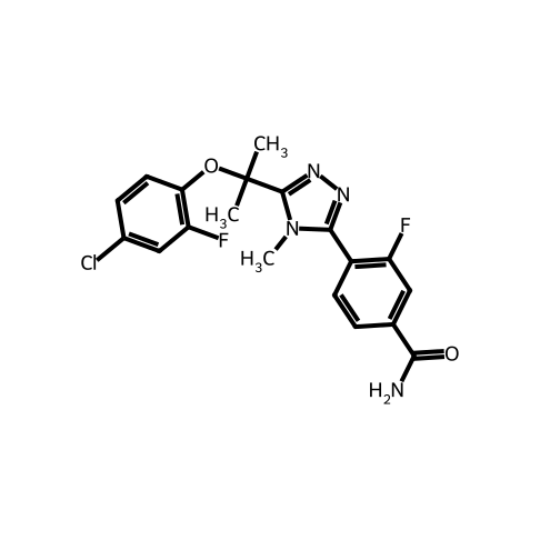 Cn1c(-c2ccc(C(N)=O)cc2F)nnc1C(C)(C)Oc1ccc(Cl)cc1F